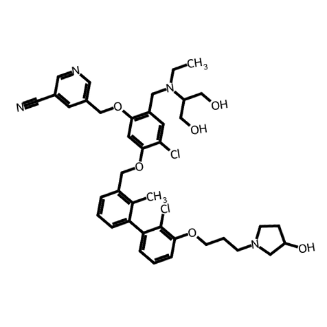 CCN(Cc1cc(Cl)c(OCc2cccc(-c3cccc(OCCCN4CCC(O)C4)c3Cl)c2C)cc1OCc1cncc(C#N)c1)C(CO)CO